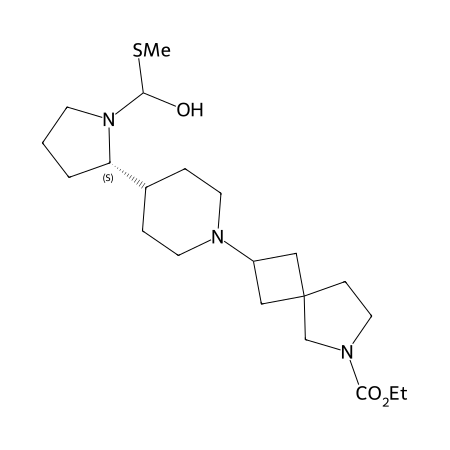 CCOC(=O)N1CCC2(CC(N3CCC([C@@H]4CCCN4C(O)SC)CC3)C2)C1